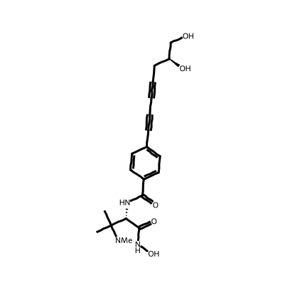 CNC(C)(C)[C@H](NC(=O)c1ccc(C#CC#CC[C@H](O)CO)cc1)C(=O)NO